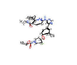 COc1nc(Nc2cc(-c3ccc(O[C@H]4CCN(C(=O)OC(C)(C)C)C[C@H]4F)c(C#N)c3)ncn2)ccc1C(=O)N(C)C